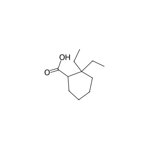 CCC1(CC)CCCCC1C(=O)O